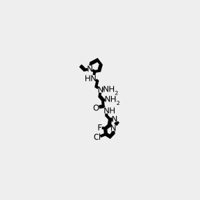 C=CN1C=CC=CC1NCCN(N)/C=C(\N)C(=O)NCc1ncn2ccc(Cl)c(F)c12